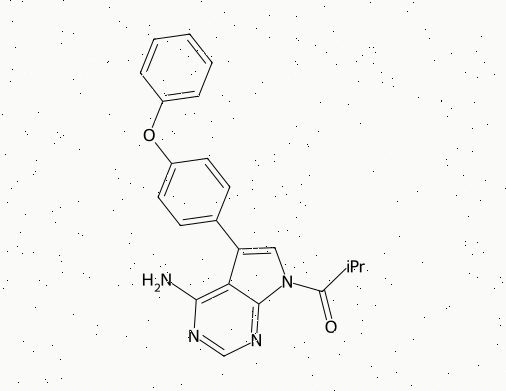 CC(C)C(=O)n1cc(-c2ccc(Oc3ccccc3)cc2)c2c(N)ncnc21